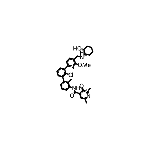 COc1nc(-c2cccc(-c3cccc(NC(=O)c4cc(C)nn(C)c4=O)c3C)c2Cl)ccc1CN[C@@H]1CCCC[C@@H]1O